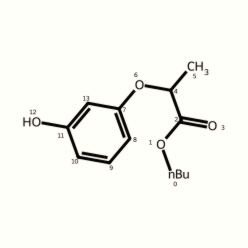 CCCCOC(=O)C(C)Oc1cccc(O)c1